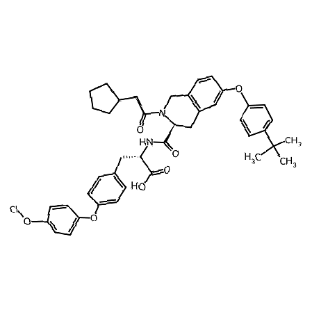 CC(C)(C)c1ccc(Oc2ccc3c(c2)C[C@@H](C(=O)N[C@@H](Cc2ccc(Oc4ccc(OCl)cc4)cc2)C(=O)O)N(C(=O)CC2CCCC2)C3)cc1